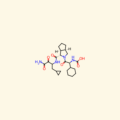 NC(=O)C(=O)C(CC1CC1)NC(=O)[C@@H]1[C@H]2CCC[C@H]2CN1C(=O)[C@@H](NC(=O)O)C1CCCCC1